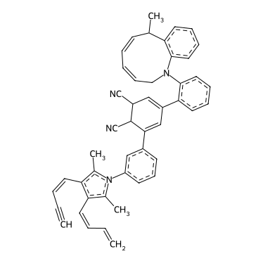 C#C/C=C\c1c(/C=C\C=C)c(C)n(-c2cccc(C3=CC(c4ccccc4N4C/C=C\C=C/C(C)c5ccccc54)=CC(C#N)C3C#N)c2)c1C